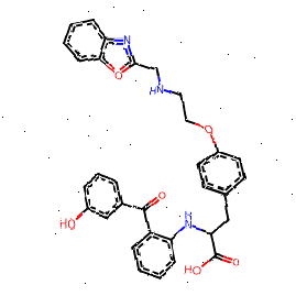 O=C(c1cccc(O)c1)c1ccccc1NC(Cc1ccc(OCCNCc2nc3ccccc3o2)cc1)C(=O)O